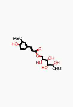 COc1cc(/C=C/C(=O)OC[C@@H](O)[C@@H](O)[C@H](O)[C@@H](O)C=O)ccc1O